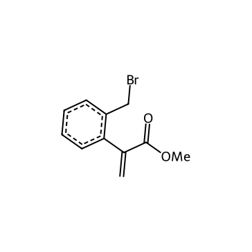 C=C(C(=O)OC)c1ccccc1CBr